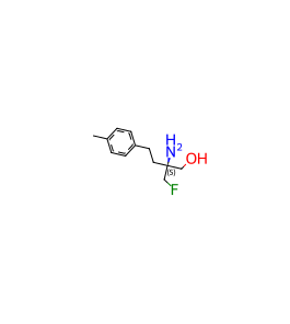 Cc1ccc(CC[C@](N)(CO)CF)cc1